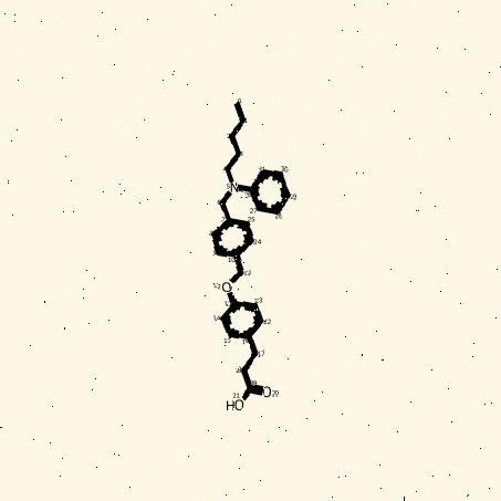 CCCCCN(Cc1ccc(COc2ccc(CCC(=O)O)cc2)cc1)c1ccccc1